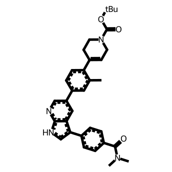 Cc1cc(-c2cnc3[nH]cc(-c4ccc(C(=O)N(C)C)cc4)c3c2)ccc1C1=CCN(C(=O)OC(C)(C)C)CC1